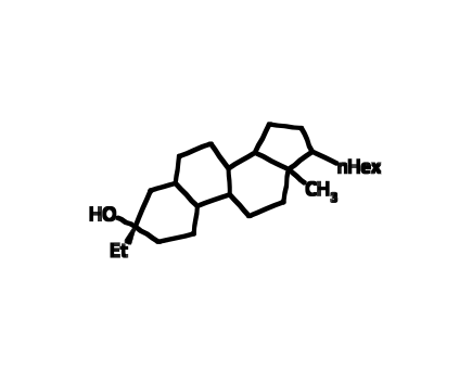 CCCCCCC1CCC2C3CCC4C[C@](O)(CC)CCC4C3CCC12C